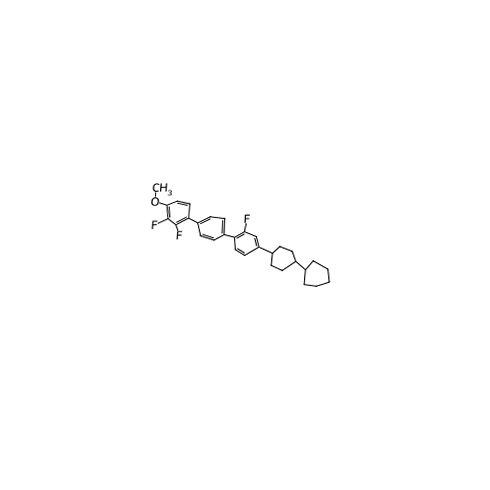 COc1ccc(-c2ccc(-c3ccc(C4CCC(C5CCCCC5)CC4)cc3F)cc2)c(F)c1F